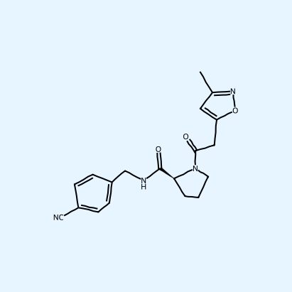 Cc1cc(CC(=O)N2CCC[C@H]2C(=O)NCc2ccc(C#N)cc2)on1